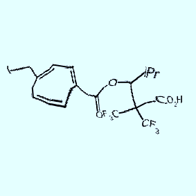 CC(C)C(OC(=O)c1ccc(I)cc1)C(C(=O)O)(C(F)(F)F)C(F)(F)F